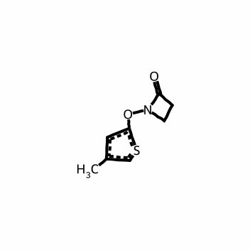 Cc1csc(ON2CCC2=O)c1